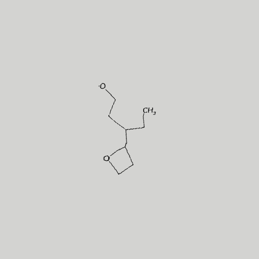 CCC(CC[O])C1CCO1